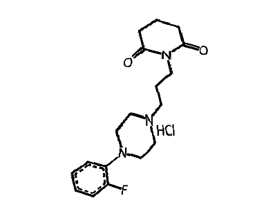 Cl.O=C1CCCC(=O)N1CCCN1CCN(c2ccccc2F)CC1